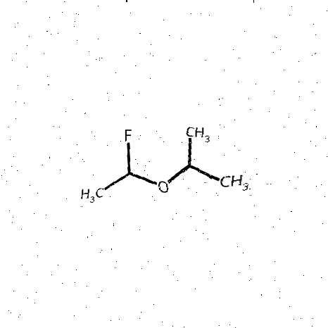 CC(C)OC(C)F